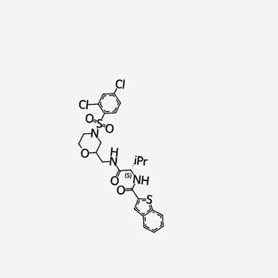 CC(C)[C@H](NC(=O)c1cc2ccccc2s1)C(=O)NCC1CN(S(=O)(=O)c2ccc(Cl)cc2Cl)CCO1